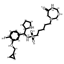 O=C1CN(CCCCCS(=O)(=O)NC(c2ccc(F)c(OCC3CC3)c2)C2CCCN2)COCN1